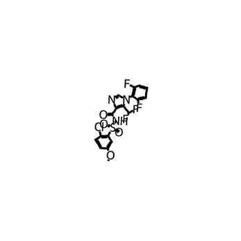 COc1ccc(Cl)c(S(=O)(=O)NC(=O)c2ncn(-c3c(F)cccc3F)c2C(F)F)c1